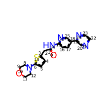 O=C(Cc1ccc(N2CCOCC2)s1)Nc1ccc(-c2cnccn2)cn1